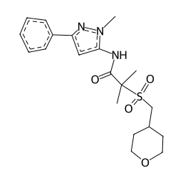 Cn1nc(-c2ccccc2)cc1NC(=O)C(C)(C)S(=O)(=O)CC1CCOCC1